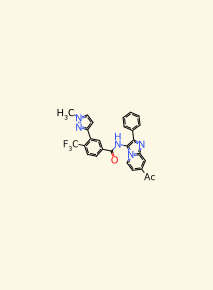 CC(=O)c1ccn2c(NC(=O)c3ccc(C(F)(F)F)c(-c4ccn(C)n4)c3)c(-c3ccccc3)nc2c1